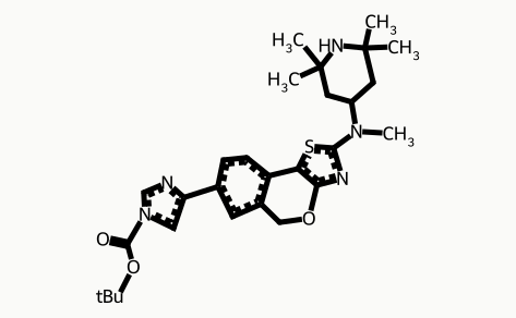 CN(c1nc2c(s1)-c1ccc(-c3cn(C(=O)OC(C)(C)C)cn3)cc1CO2)C1CC(C)(C)NC(C)(C)C1